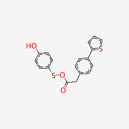 O=C(Cc1ccc(-c2cccs2)cc1)OSc1ccc(O)cc1